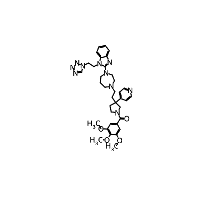 COc1cc(C(=O)N2CCC(CCN3CCCN(c4nc5ccccc5n4CCn4cnnn4)CC3)(c3ccncc3)C2)cc(OC)c1OC